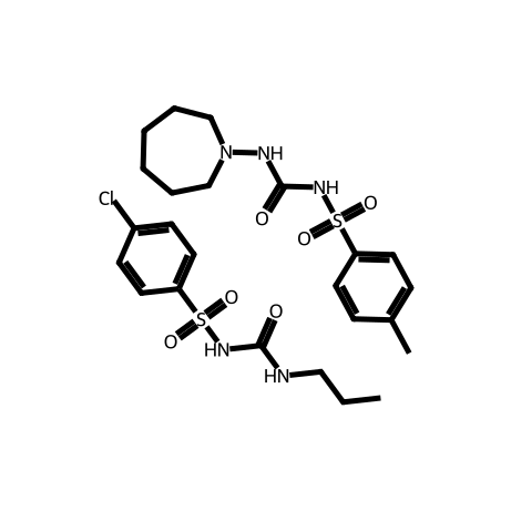 CCCNC(=O)NS(=O)(=O)c1ccc(Cl)cc1.Cc1ccc(S(=O)(=O)NC(=O)NN2CCCCCC2)cc1